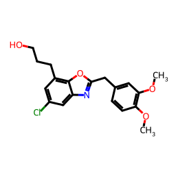 COc1ccc(Cc2nc3cc(Cl)cc(CCCO)c3o2)cc1OC